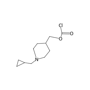 O=C(Cl)OCC1CCN(CC2CC2)CC1